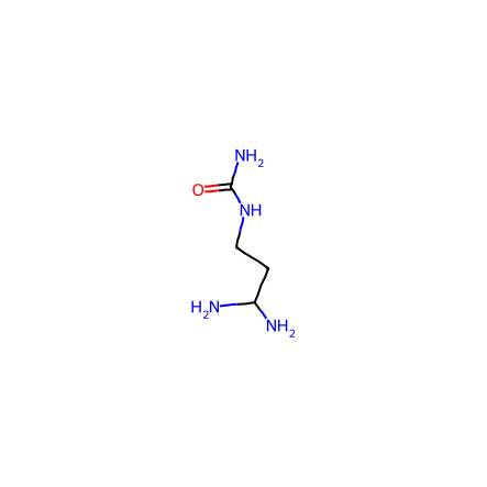 NC(=O)NCCC(N)N